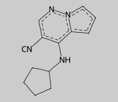 [C-]#[N+]c1cnn2cccc2c1NC1CCCC1